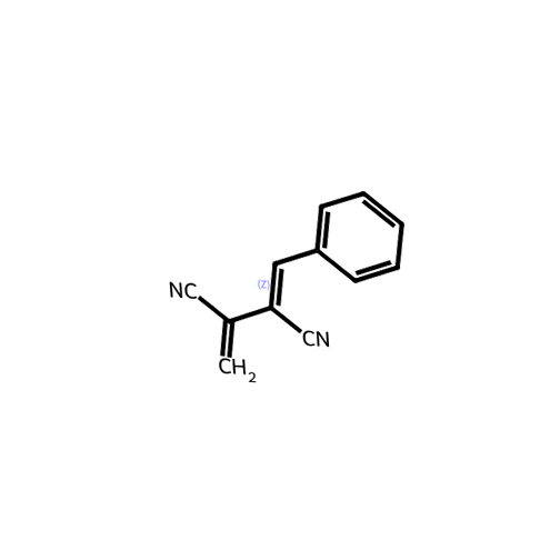 C=C(C#N)/C(C#N)=C/c1ccccc1